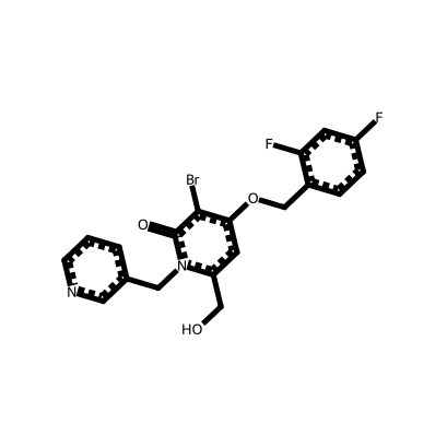 O=c1c(Br)c(OCc2ccc(F)cc2F)cc(CO)n1Cc1cccnc1